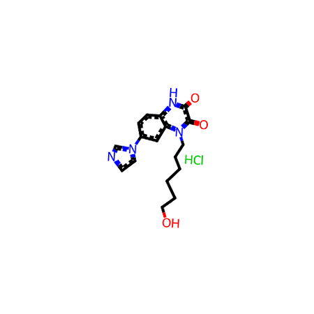 Cl.O=c1[nH]c2ccc(-n3ccnc3)cc2n(CCCCCCO)c1=O